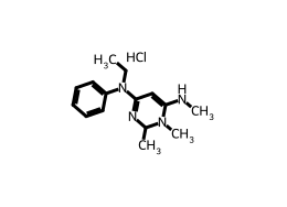 CCN(C1=NC(C)N(C)C(NC)=C1)c1ccccc1.Cl